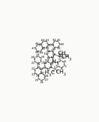 CC1(C)c2cccc3c2-n2c4c1cc(-c1c(-c5ccccc5)ccc5ccccc15)cc4c1cc(-c4c(-c5ccccc5)ccc5ccccc45)cc(c12)C3(C)C